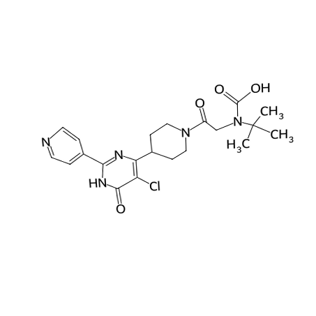 CC(C)(C)N(CC(=O)N1CCC(c2nc(-c3ccncc3)[nH]c(=O)c2Cl)CC1)C(=O)O